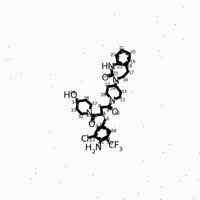 Nc1c(Cl)cc(C[C@@H](CC(=O)N2CCC(N3CCc4ccccc4NC3=O)CC2)C(=O)N2CCC(O)CC2)cc1C(F)(F)F